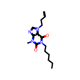 C=CCCn1cnc2c1c(=O)n(CCCCCC)c(=O)n2C